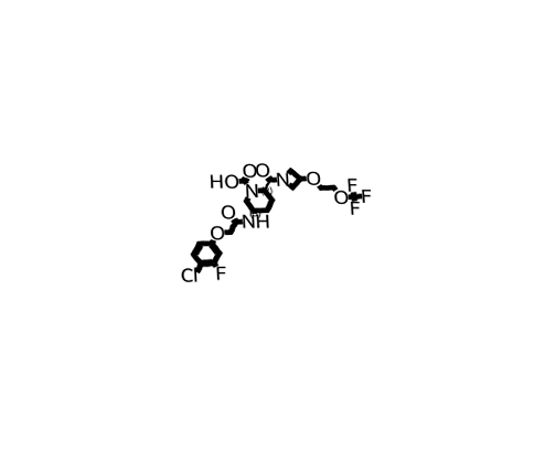 O=C(COc1ccc(Cl)c(F)c1)N[C@H]1CC[C@H](C(=O)N2CC(OCCOC(F)(F)F)C2)N(C(=O)O)C1